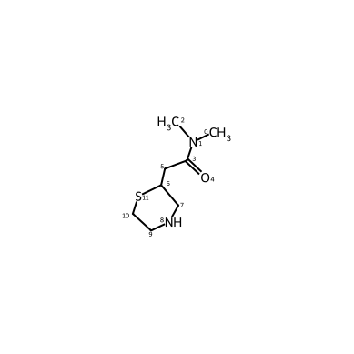 CN(C)C(=O)CC1CNCCS1